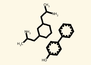 CC(N)CC1CCCC(CC(C)N)C1.Oc1ccc(-c2ccccc2)cc1